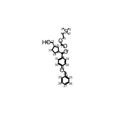 C[Si](C)(C)CCOC(=O)[C@H]1[C@H](CO)CC[C@@H]1C(=O)c1ccc(OCc2ccccc2)cc1